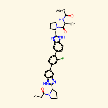 COC(=O)N[C@H](C(=O)N1CCC[C@H]1c1nc2cc(-c3ccc(-c4ccc5[nH]c([C@@H]6CCCN6C(=O)CC(C)C)nc5c4)cc3F)ccc2[nH]1)C(C)C